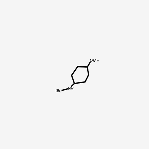 COC1CCC(NC(C)(C)C)CC1